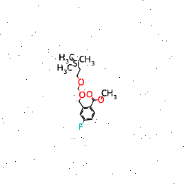 COC(=O)c1ccc(F)cc1COCOCC[Si](C)(C)C